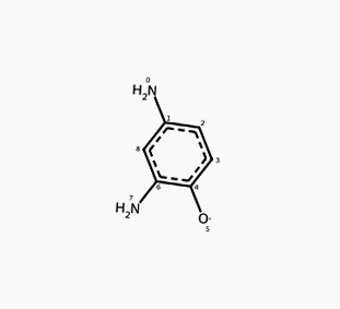 Nc1ccc([O])c(N)c1